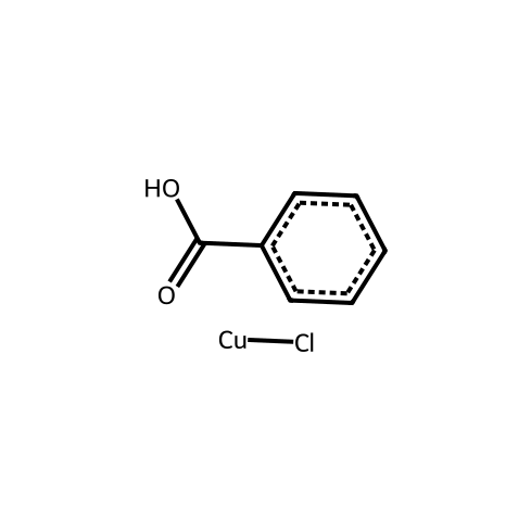 O=C(O)c1ccccc1.[Cl][Cu]